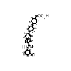 O=C(O)CC1CCC(c2ccc(-c3ccc4nc(C(=O)Nc5cccc(Cl)c5)cn4c3)cc2)CC1